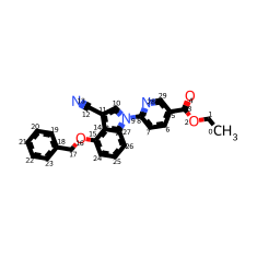 CCOC(=O)c1ccc(-n2cc(C#N)c3c(OCc4ccccc4)cccc32)nc1